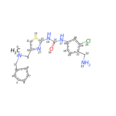 CN(Cc1ccccc1)Cc1csc(NC(=O)Nc2ccc(CN)c(Cl)c2)n1